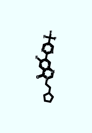 O=c1c2cc(F)c(-c3ncc(C(F)(F)F)cn3)cc2ncn1CCC1CCCC1